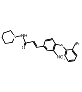 CC(C)c1ccccc1Sc1ccc(C=CC(=O)NN2CCCCC2)cc1[N+](=O)[O-]